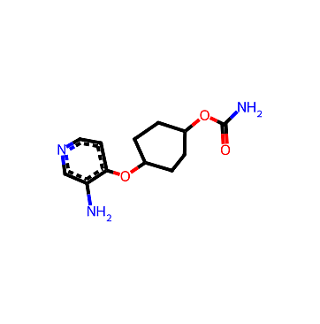 NC(=O)OC1CCC(Oc2ccncc2N)CC1